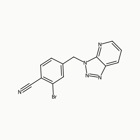 N#Cc1ccc(Cn2nnc3cccnc32)cc1Br